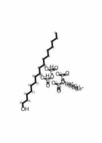 CCCCCCCCCCCCCCCCCO.O=[PH]([O-])O[PH](=O)[O-].O=[PH]([O-])O[PH](=O)[O-].[Na+].[Na+].[Na+].[Na+]